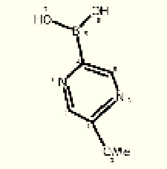 COc1cnc(B(O)O)cn1